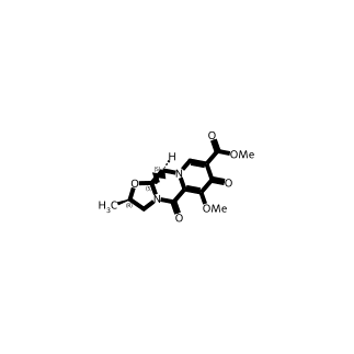 COC(=O)c1cn2c(c(OC)c1=O)C(=O)N1C[C@@H](C)O[C@]13CCC[C@H]23